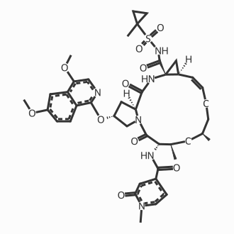 COc1ccc2c(O[C@@H]3C[C@H]4C(=O)N[C@]5(C(=O)NS(=O)(=O)C6(C)CC6)C[C@H]5C=CCC[C@@H](C)C[C@@H](C)[C@H](NC(=O)c5ccn(C)c(=O)c5)C(=O)N4C3)ncc(OC)c2c1